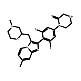 Cc1ccn2c(CC3CN(C)CCO3)c(-c3c(F)cc(N4CCNCC4=O)cc3F)nc2c1